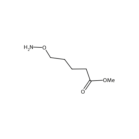 COC(=O)CCCCON